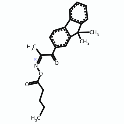 CCCCC(=O)O/N=C(/C)C(=O)c1ccc2c(c1)C(C)(C)c1ccccc1-2